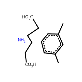 Cc1cccc(C)c1.N.O=C(O)CCCCC(=O)O